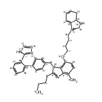 CCCCc1nc2c(C)ccc(OCCCCN3CNC4CC=CC=C43)c2n1Cc1ccc(-c2ccccc2-c2nnn[nH]2)cc1